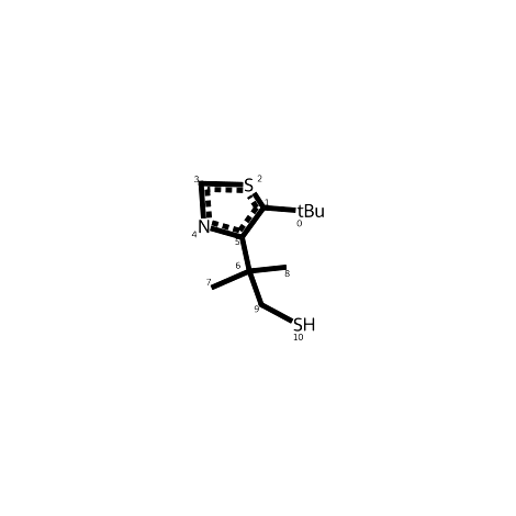 CC(C)(C)c1scnc1C(C)(C)CS